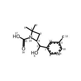 CC1(C)C[C@@H](C(O)c2cncc(F)c2)N1C(=O)O